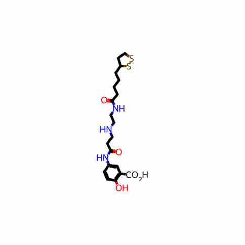 O=C(CCCCC1CCSS1)NCCNCCC(=O)Nc1ccc(O)c(C(=O)O)c1